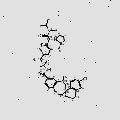 CC(C)N(C)C(=O)[C@@H](/C(F)=C/C[C@H](C)[C@@H](C)S(=O)(=O)NC(=O)c1ccc2c(c1)N(C)C[C@@]1(CCCc3cc(Cl)ccc31)CO2)N1CCC[C@H]1C